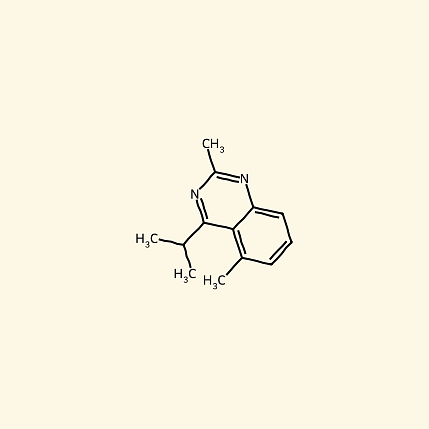 Cc1nc(C(C)C)c2c(C)cccc2n1